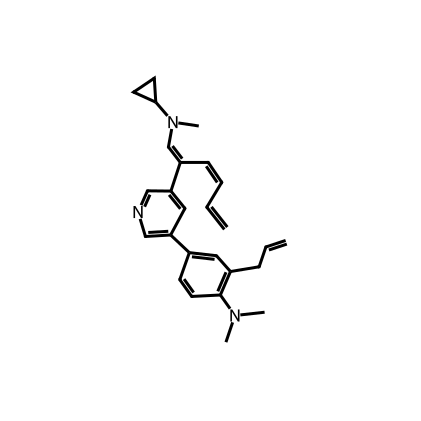 C=C/C=C\C(=C/N(C)C1CC1)c1cncc(-c2ccc(N(C)C)c(CC=C)c2)c1